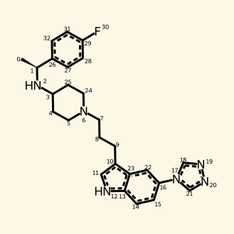 C[C@H](NC1CCN(CCCc2c[nH]c3ccc(-n4cnnc4)cc23)CC1)c1ccc(F)cc1